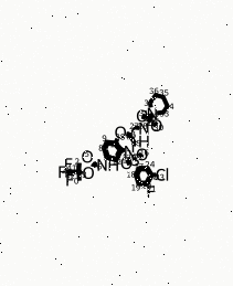 CC(C)(OC(=O)Nc1ccc2c(c1)N(S(=O)(=O)c1ccc(F)c(Cl)c1)C[C@H](CNS(=O)(=O)N1CCCCC1)O2)C(F)(F)F